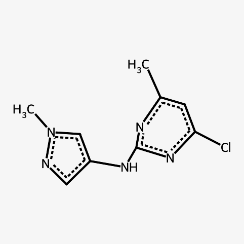 Cc1cc(Cl)nc(Nc2cnn(C)c2)n1